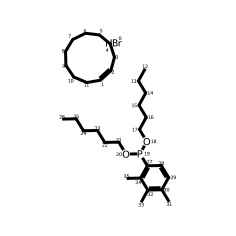 Br.C1=CCCCCCCCCC1.CCCCCCOP(OCCCCCC)c1ccc(C)c(C)c1C